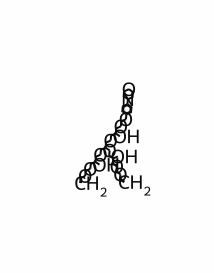 C=COCOCC(O)COCC(COCC(O)COCOc1ccc(N2CCOCC2)cc1)OCC(O)COCOC=C